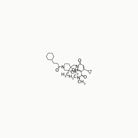 CN(C)C(=O)c1cn(CC2(O)CCN(C(=O)CCC3CCCCC3)CC2(C)C)c(=O)cc1C1CC1